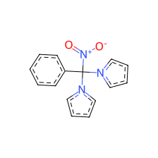 O=[N+]([O-])C(c1ccccc1)(n1cccc1)n1cccc1